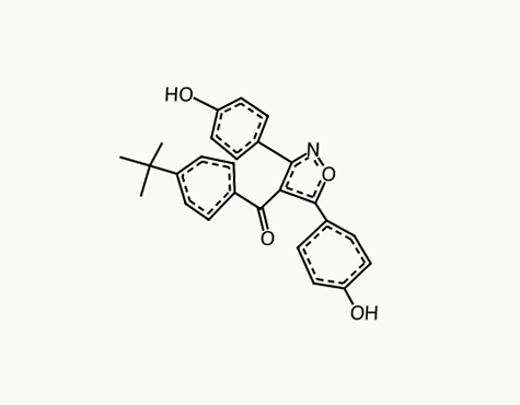 CC(C)(C)c1ccc(C(=O)c2c(-c3ccc(O)cc3)noc2-c2ccc(O)cc2)cc1